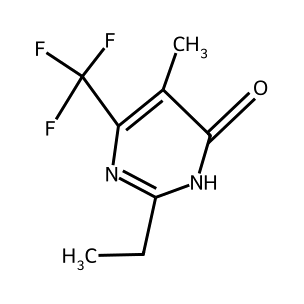 CCc1nc(C(F)(F)F)c(C)c(=O)[nH]1